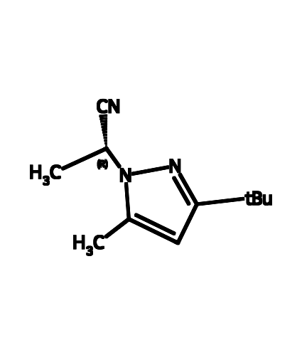 Cc1cc(C(C)(C)C)nn1[C@H](C)C#N